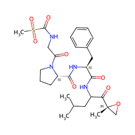 CC(C)CC(NC(=O)[C@H](Cc1ccccc1)NC(=O)[C@@H]1CCCN1C(=O)CNC(=O)S(C)(=O)=O)C(=O)[C@@]1(C)CO1